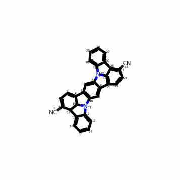 N#CC1=CC=C2c3cc4c(cc3N3c5ccccc5C1C23)c1ccc(C#N)c2c3ccccc3n4c12